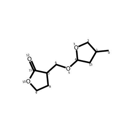 CC1COC(OCC2CCOC2=O)C1